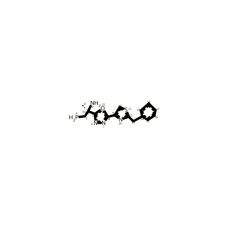 C[C@@](N)(CP)c1nnc(-c2csc(Cc3ccccc3)n2)o1